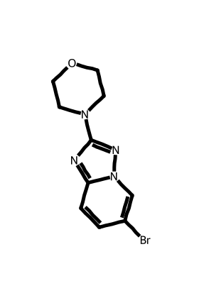 Brc1ccc2nc(N3CCOCC3)nn2c1